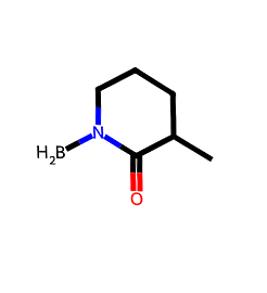 BN1CCCC(C)C1=O